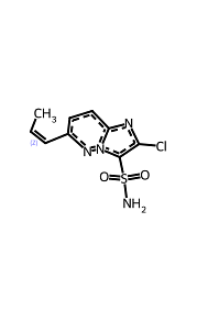 C/C=C\c1ccc2nc(Cl)c(S(N)(=O)=O)n2n1